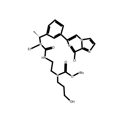 CCN(C(=O)NCCN(CCCO)C(=O)OC(C)(C)C)[C@H](C)c1cccc(-c2cn3ccnc3c(Cl)n2)c1